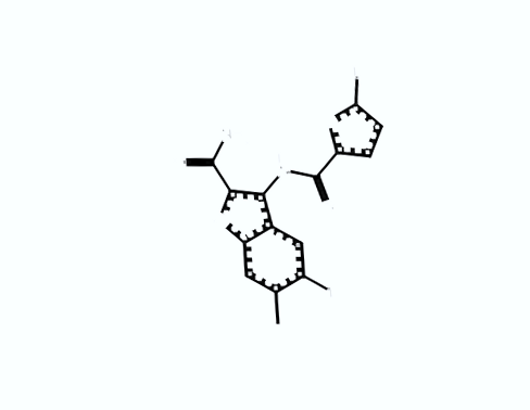 CCc1ccc(C(=O)Nc2c(C(N)=O)oc3cc(C)c(F)cc23)o1